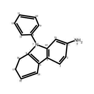 Nc1ccc2c3c(n(-c4ccccc4)c2c1)CCC=C3